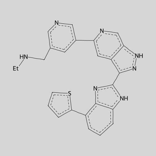 CCNCc1cncc(-c2cc3c(-c4nc5c(-c6cccs6)cccc5[nH]4)n[nH]c3cn2)c1